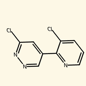 Clc1cc(-c2ncccc2Cl)cnn1